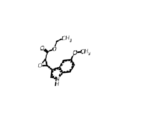 CCOC(=O)C1OC1c1c[nH]c2ccc(OC)cc12